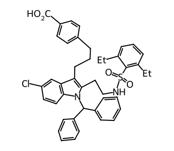 CCc1cccc(CC)c1S(=O)(=O)NCCc1c(CCCc2ccc(C(=O)O)cc2)c2cc(Cl)ccc2n1C(c1ccccc1)c1ccccc1